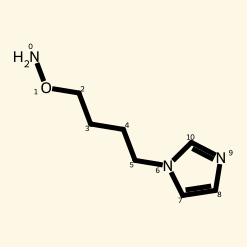 NOCCCCn1ccnc1